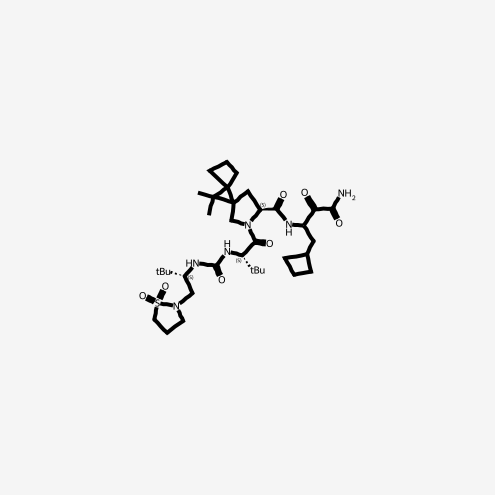 CC(C)(C)[C@H](NC(=O)N[C@H](CN1CCCS1(=O)=O)C(C)(C)C)C(=O)N1CC2(C[C@H]1C(=O)NC(CC1CCC1)C(=O)C(N)=O)C(C)(C)C21CCC1